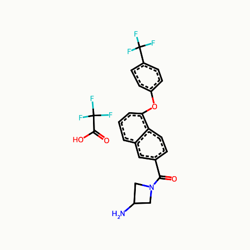 NC1CN(C(=O)c2ccc3c(Oc4ccc(C(F)(F)F)cc4)cccc3c2)C1.O=C(O)C(F)(F)F